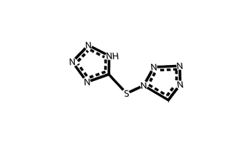 [c]1nnnn1Sc1nnn[nH]1